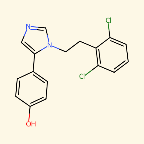 Oc1ccc(-c2cncn2CCc2c(Cl)cccc2Cl)cc1